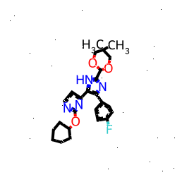 CC1(C)COC(c2nc(-c3ccc(F)cc3)c(-c3ccnc(OC4CCCCC4)n3)[nH]2)OC1